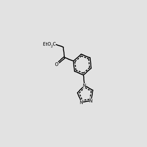 CCOC(=O)CC(=O)c1cccc(-n2cnnc2)c1